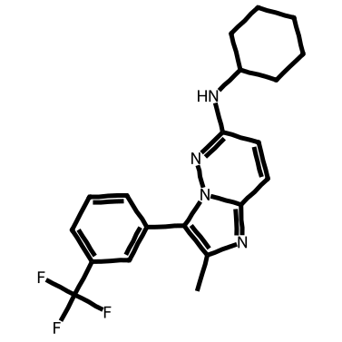 Cc1nc2ccc(NC3CCCCC3)nn2c1-c1cccc(C(F)(F)F)c1